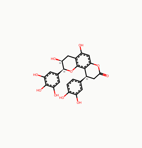 O=C1C[C@@H](c2ccc(O)c(O)c2)c2c(cc(O)c3c2O[C@@H](c2cc(O)c(O)c(O)c2)[C@@H](O)C3)O1